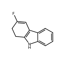 FC1=Cc2c([nH]c3ccccc23)CC1